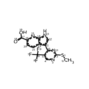 CSc1ncc(C(F)(F)F)c(-c2c[nH]c3nc(C(=O)O)ccc23)n1